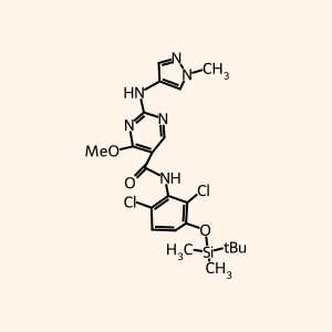 COc1nc(Nc2cnn(C)c2)ncc1C(=O)Nc1c(Cl)ccc(O[Si](C)(C)C(C)(C)C)c1Cl